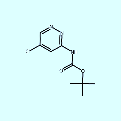 CC(C)(C)OC(=O)Nc1cc(Cl)cnn1